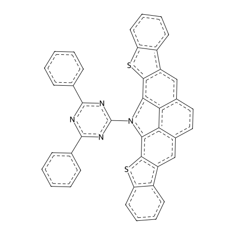 c1ccc(-c2nc(-c3ccccc3)nc(-n3c4c5sc6ccccc6c5cc5ccc6cc7c8ccccc8sc7c3c6c54)n2)cc1